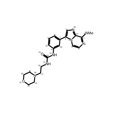 CNc1nccn2c(-c3cccc(NC(=O)NCCN4CCOCC4)c3)cnc12